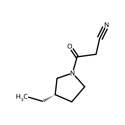 CC[C@H]1CCN(C(=O)CC#N)C1